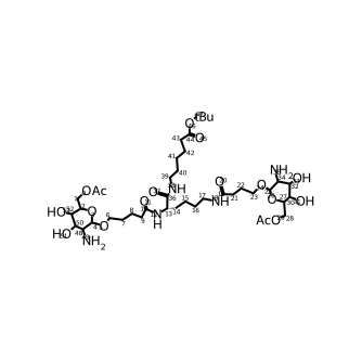 CC(=O)OCC1OC(OCCCCC(=O)N[C@@H](CCCCNC(=O)CCCOC2OC(COC(C)=O)C(O)C(O)C2N)C(=O)NCCCCCC(=O)OC(C)(C)C)C(N)C(O)C1O